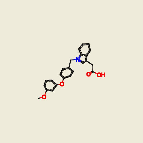 COc1cccc(Oc2ccc(Cn3cc(CC(=O)O)c4ccccc43)cc2)c1